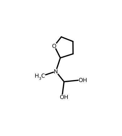 CN(C(O)O)C1CCCO1